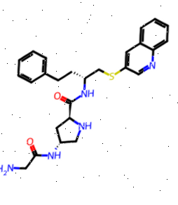 NCC(=O)N[C@H]1CN[C@H](C(=O)N[C@H](CCc2ccccc2)CSc2cnc3ccccc3c2)C1